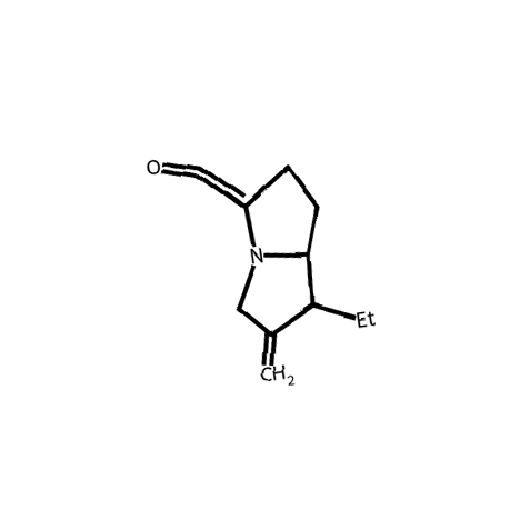 C=C1CN2C(=C=O)CCC2C1CC